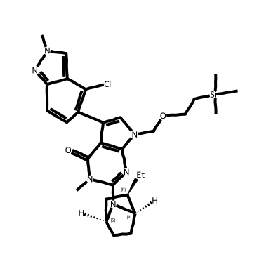 CC[C@@H]1C[C@@H]2CC[C@H]1N2c1nc2c(c(-c3ccc4nn(C)cc4c3Cl)cn2COCC[Si](C)(C)C)c(=O)n1C